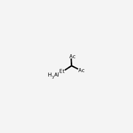 [AlH3].[CH2]CC(C(C)=O)C(C)=O